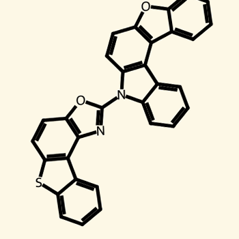 c1ccc2c(c1)oc1ccc3c(c4ccccc4n3-c3nc4c(ccc5sc6ccccc6c54)o3)c12